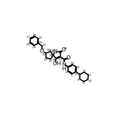 O=C(Nc1ccc(C2CCCCC2)cc1)C1=C(O)C2(CCC(OCc3ccccc3)C2)NC1=O